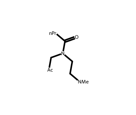 CCCC(=O)N(CCNC)CC(C)=O